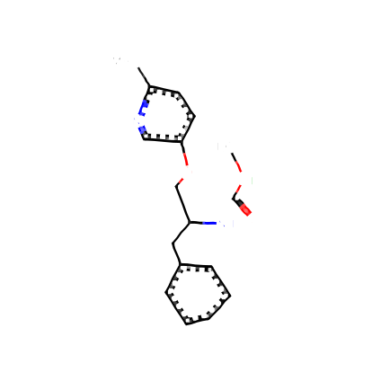 COC=O.COc1ccc(OCC(N)Cc2ccccc2)cn1.Cl